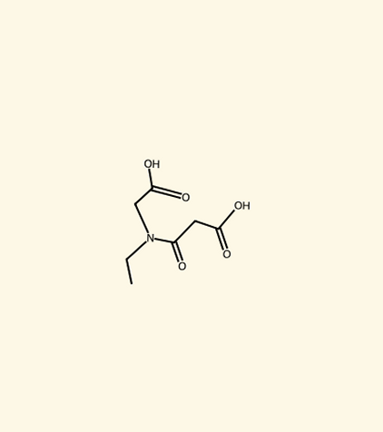 CCN(CC(=O)O)C(=O)CC(=O)O